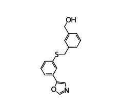 OCc1cccc(CSc2cccc(-c3cnco3)c2)c1